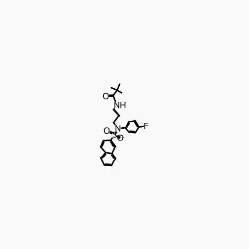 CC(C)(C)C(=O)NCCCN(c1ccc(F)cc1)S(=O)(=O)c1ccc2ccccc2c1